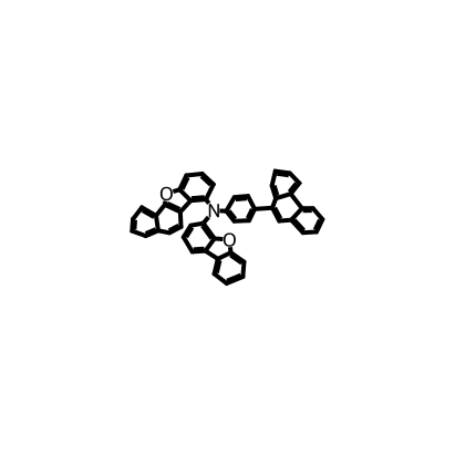 c1ccc2c(c1)cc(-c1ccc(N(c3cccc4c3oc3ccccc34)c3cccc4oc5c6ccccc6ccc5c34)cc1)c1ccccc12